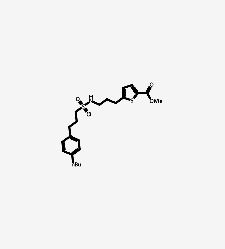 CCCCc1ccc(CCCS(=O)(=O)NCCCc2ccc(C(=O)OC)s2)cc1